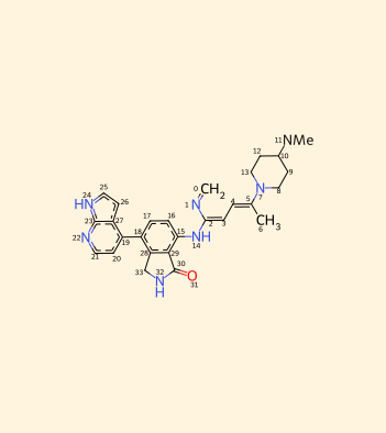 C=N/C(=C\C=C(/C)N1CCC(NC)CC1)Nc1ccc(-c2ccnc3[nH]ccc23)c2c1C(=O)NC2